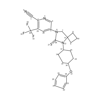 N#Cc1ncc(N2CC3(CCC3)N(C3CCC(Oc4ccccc4)CC3)C2=S)cc1C(F)(F)F